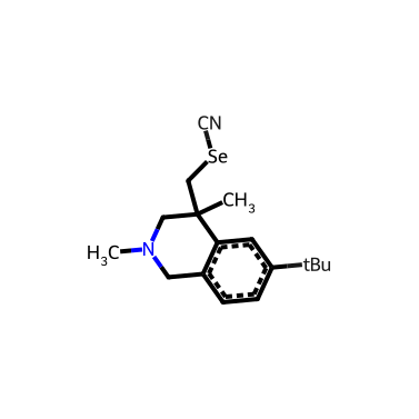 CN1Cc2ccc(C(C)(C)C)cc2C(C)(C[Se]C#N)C1